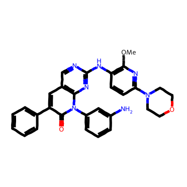 COc1nc(N2CCOCC2)ccc1Nc1ncc2cc(-c3ccccc3)c(=O)n(-c3cccc(N)c3)c2n1